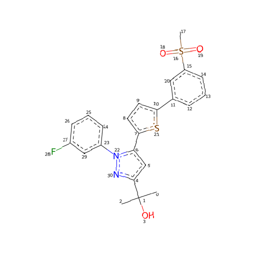 CC(C)(O)c1cc(-c2ccc(-c3cccc(S(C)(=O)=O)c3)s2)n(-c2cccc(F)c2)n1